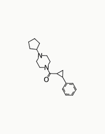 O=C(C1CC1c1ccccc1)N1CCN(C2CCCC2)CC1